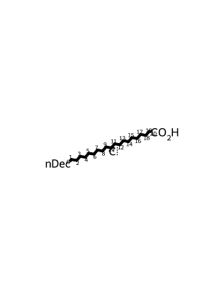 CCCCCCCCCCCCCCCCCCCCCCCCCCCCCC(=O)O.[C]